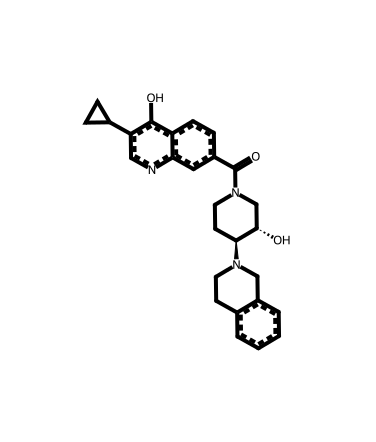 O=C(c1ccc2c(O)c(C3CC3)cnc2c1)N1CC[C@H](N2CCc3ccccc3C2)[C@@H](O)C1